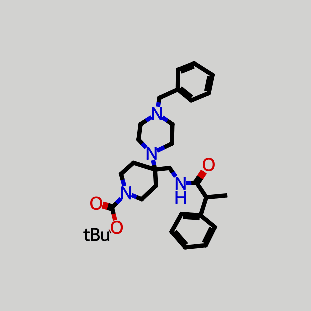 CC(C(=O)NCC1(N2CCN(Cc3ccccc3)CC2)CCN(C(=O)OC(C)(C)C)CC1)c1ccccc1